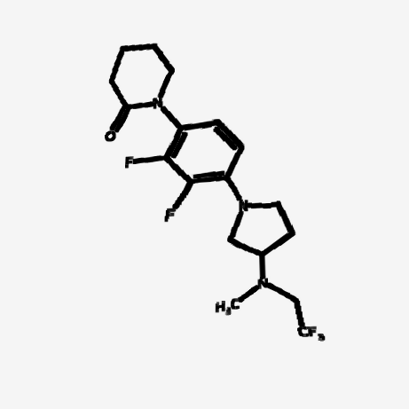 CN(CC(F)(F)F)C1CCN(c2ccc(N3CCCCC3=O)c(F)c2F)C1